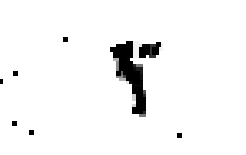 CCCCCCOCCCCc1ccc(-c2ccc(CCCCCCCCCC3CC3)cn2)nn1